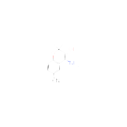 CC1(C)Oc2ccc(C#N)cc2[C@H](N)[C@H]1O